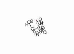 Cn1cc(-c2c3c4c(ncc5c4n(c(=O)n5C)C4CC(C4)OC(=O)NCc4cccc-3c4)n2S(=O)(=O)c2ccccc2)c(F)n1